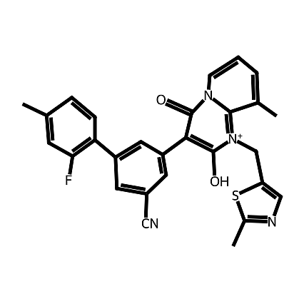 Cc1ccc(-c2cc(C#N)cc(-c3c(O)[n+](Cc4cnc(C)s4)c4c(C)cccn4c3=O)c2)c(F)c1